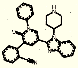 N#Cc1ccccc1-c1cc(-c2nc3ccccc3n2C2CCNCC2)cn(-c2ccccc2)c1=O